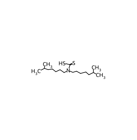 CC(C)CCCCCN(CCCCCC(C)C)C(=S)S